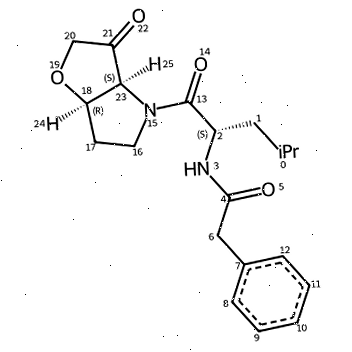 CC(C)C[C@H](NC(=O)Cc1ccccc1)C(=O)N1CC[C@H]2OCC(=O)[C@H]21